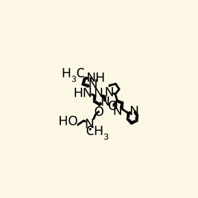 Cc1cc(Nc2cc(OCCN(C)CCO)nc(N3CCCC3c3cc(-c4ccccn4)no3)n2)n[nH]1